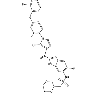 Cc1cc(Oc2ccccc2F)ccc1-n1ncc(C(=O)c2cc3cc(F)c(NS(=O)(=O)CC4COCCO4)cc3[nH]2)c1N